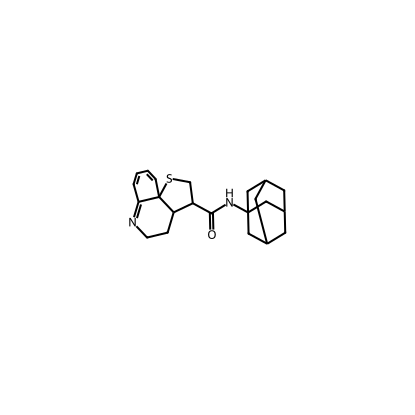 O=C(NC12CC3CC(CC(C3)C1)C2)C1CSC23C=CC=CC2=NCCC13